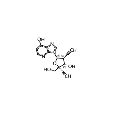 C#C[C@@H]1[C@H](n2cnc3c(O)ccnc32)O[C@](C#C)(CO)[C@H]1O